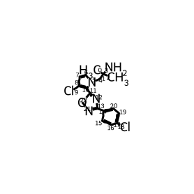 CC(C)(N)Cn1ccc(Cl)c1-c1nc(-c2ccc(Cl)cc2)no1